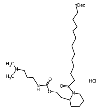 CCCCCCCCCCCCCCCCCCCCCC(=O)N1CCCCC1CCOC(=O)NCCCN(C)C.Cl